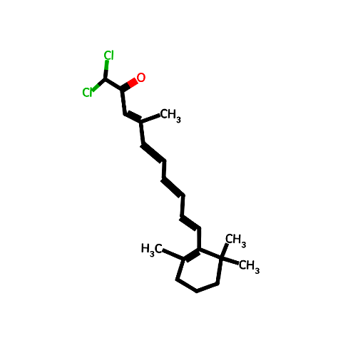 CC1=C(/C=C/C=C/C=C/C(C)=C/C(=O)C(Cl)Cl)C(C)(C)CCC1